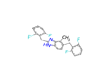 Cc1c(Cc2c(F)cccc2F)ccc2[nH]c(Cc3c(F)cccc3F)nc12